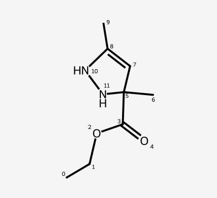 CCOC(=O)C1(C)C=C(C)NN1